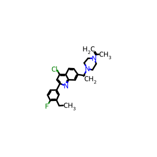 C=C(C)N1CCN(C(=C)c2ccc3c(Cl)cc(-c4ccc(F)c(CC)c4)nc3c2)CC1